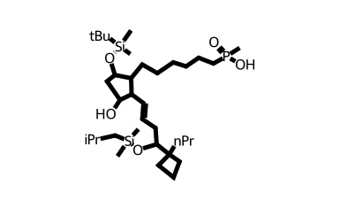 CCCC1(C(CC=CC2C(O)CC(O[Si](C)(C)C(C)(C)C)C2CCCCCCP(C)(=O)O)O[Si](C)(C)CC(C)C)CCC1